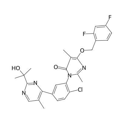 Cc1cnc(C(C)(C)O)nc1-c1ccc(Cl)c(-n2c(C)nc(OCc3ccc(F)cc3F)c(C)c2=O)c1